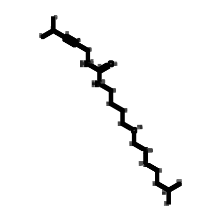 CC(C)C#CCNC(=O)NCCCCOCSSCCC(C)C